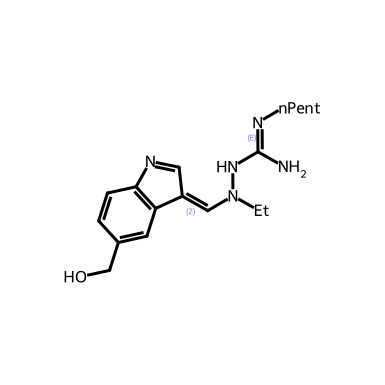 CCCCC/N=C(\N)NN(/C=C1\C=Nc2ccc(CO)cc21)CC